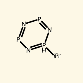 CC(C)[PH]1=NP=NP=N1